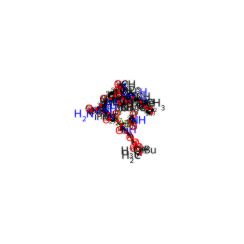 C=CC(C)(OC(=O)OCCOCCNC(=O)C(CSC1CC(=O)NC1=O)CSC1CC(=O)N(N[C@H](C(=O)N[C@@H](CCCNC(N)=O)C(=O)Nc2ccc(COC(=O)N(C)[C@H](C(=O)N[C@H](C(=O)N(C)[C@@H]([C@@H](C)CC)[C@@H](CC(=O)N3CCCC3C(OC)[C@@H](C)C(=O)N[C@H](C)[C@@H](C)c3ccccc3)OC)C(C)C)C(C)C)cc2)C(C)C)C1=O)[C@H](C)CC